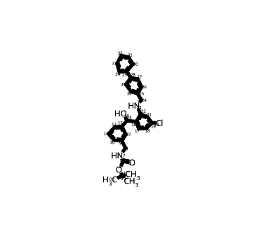 CC(C)(C)OC(=O)NCc1cccc(C(O)c2ccc(Cl)cc2NCc2ccc(-c3ccccc3)cc2)c1